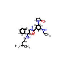 CCNc1cc(C(=O)N[C@@H](Cc2ccccc2)[C@H](O)CNCCCC(C)C)cc(N2CCCC2=O)c1